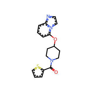 O=C(c1cccs1)N1CCC(Oc2cccc3nccn23)CC1